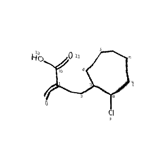 C=C(CC1CCCCC1Cl)C(=O)O